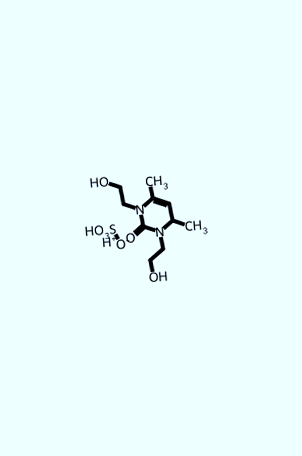 CC1=CC(C)N(CCO)C(=O)N1CCO.O=S(=O)([O-])O.[H+]